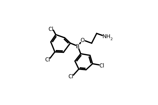 NCCOB(c1cc(Cl)cc(Cl)c1)c1cc(Cl)cc(Cl)c1